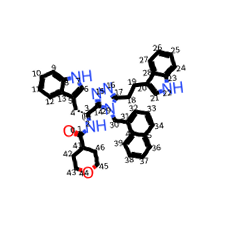 O=C(N[C@H](Cc1c[nH]c2ccccc12)c1nnc(CCc2c[nH]c3ccccc23)n1Cc1cccc2ccccc12)C1CCOCC1